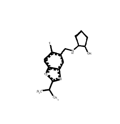 CC(C)c1nc2cc(CNC3CCCC3O)c(F)cc2o1